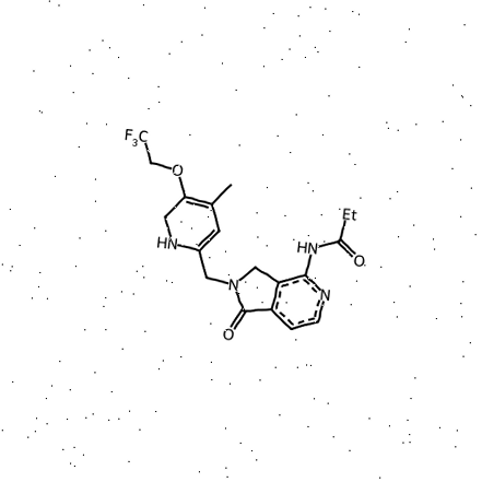 CCC(=O)Nc1nccc2c1CN(CC1=CC(C)=C(OCC(F)(F)F)CN1)C2=O